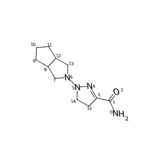 NC(=O)C1=NN(N2CC3CCCC3C2)CC1